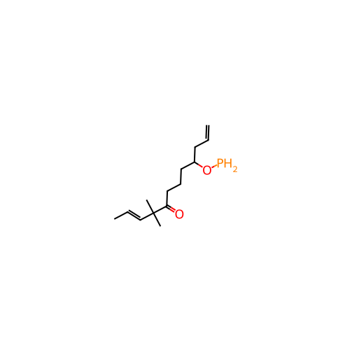 C=CCC(CCCC(=O)C(C)(C)/C=C/C)OP